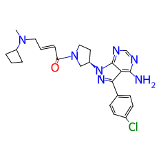 CN(CC=CC(=O)N1CC[C@@H](n2nc(-c3ccc(Cl)cc3)c3c(N)ncnc32)C1)C1CCC1